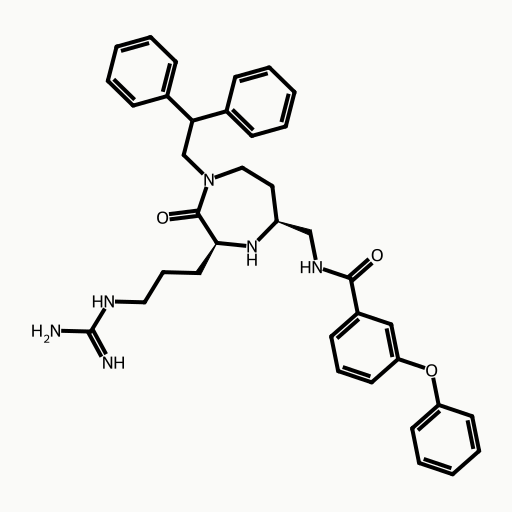 N=C(N)NCCC[C@@H]1N[C@H](CNC(=O)c2cccc(Oc3ccccc3)c2)CCN(CC(c2ccccc2)c2ccccc2)C1=O